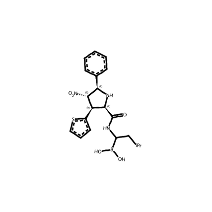 CC(C)CC(NC(=O)[C@@H]1N[C@H](c2ccccc2)[C@@H]([N+](=O)[O-])[C@@H]1c1cccs1)B(O)O